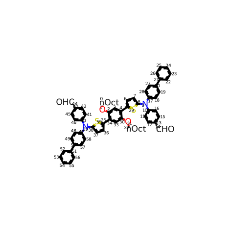 CCCCCCCCOc1cc(-c2ccc(N(c3ccc(C=O)cc3)c3ccc(-c4ccccc4)cc3)s2)c(OCCCCCCCC)cc1-c1ccc(N(c2ccc(C=O)cc2)c2ccc(-c3ccccc3)cc2)s1